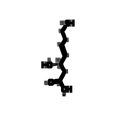 O=C(O)C[C@H](O)C=CCCS